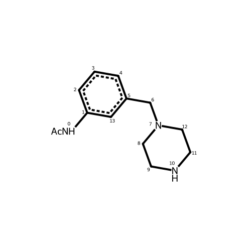 CC(=O)Nc1cccc(CN2CCNCC2)c1